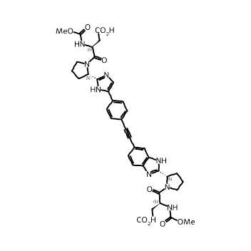 COC(=O)N[C@@H](CC(=O)O)C(=O)N1CCC[C@H]1c1ncc(-c2ccc(C#Cc3ccc4nc([C@@H]5CCCN5C(=O)[C@H](CC(=O)O)NC(=O)OC)[nH]c4c3)cc2)[nH]1